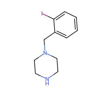 Ic1ccccc1CN1CCNCC1